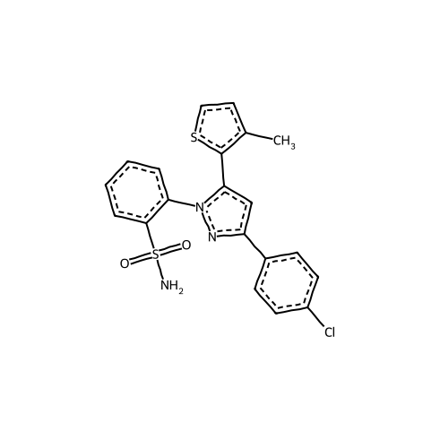 Cc1ccsc1-c1cc(-c2ccc(Cl)cc2)nn1-c1ccccc1S(N)(=O)=O